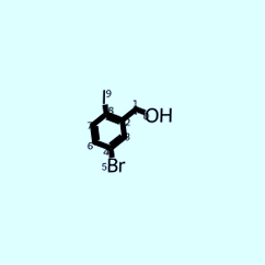 O[CH]c1cc(Br)ccc1I